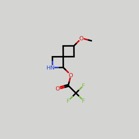 COC1CC2(CNC2OC(=O)C(F)(F)F)C1